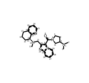 CN(C)C1CCN(C(=O)c2c(CN(C)[C@H]3CCCc4cccnc43)nc3ccccn23)C1